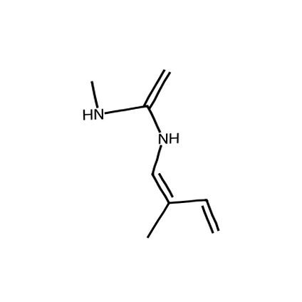 C=C/C(C)=C\NC(=C)NC